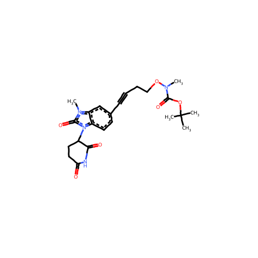 CN(OCCC#Cc1ccc2c(c1)n(C)c(=O)n2C1CCC(=O)NC1=O)C(=O)OC(C)(C)C